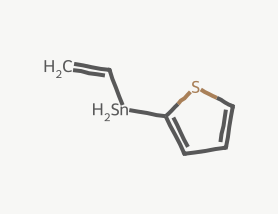 C=[CH][SnH2][c]1cccs1